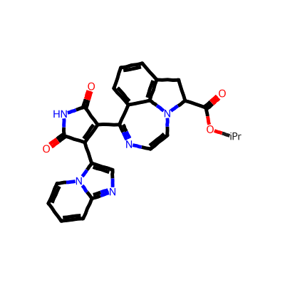 CC(C)OC(=O)C1Cc2cccc3c2N1C=CN=C3C1=C(c2cnc3ccccn23)C(=O)NC1=O